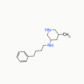 CC1[CH]C(NCCCCc2ccccc2)CNC1